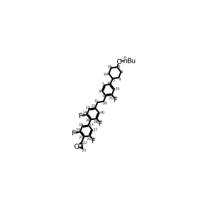 CCCCOC1CCC(c2ccc(CCc3cc(F)c(-c4cc(F)c(C5CO5)c(F)c4)c(F)c3)c(F)c2)CC1